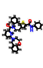 O=C(Nc1ccccc1)c1cc2c(s1)-c1ccccc1N(C(=O)c1cccc(N3CCOc4ccccc4C3)n1)CC2